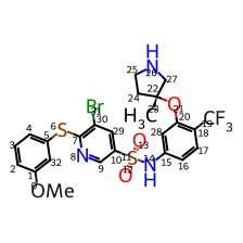 COc1cccc(Sc2ncc(S(=O)(=O)Nc3ccc(C(F)(F)F)c(O[C@]4(C)CCNC4)c3)cc2Br)c1